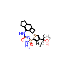 CC(C)(O)c1csc(S(N)(=O)=NC(=O)Nc2c3c(cc4c2CC4)CCC3)c1